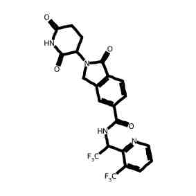 O=C1CCC(N2Cc3cc(C(=O)NC(c4ncccc4C(F)(F)F)C(F)(F)F)ccc3C2=O)C(=O)N1